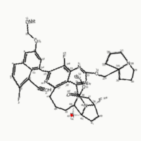 C#Cc1c(F)ccc2cc(OCOC)cc(-c3nc4c5c(nc(OCC67CCCN6CCC7)nc5c3F)N3C[C@@]5(F)CC[C@@](F)([C@H]3CCC4)N5C(=O)OC(C)(C)C)c12